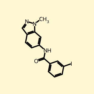 Cn1ncc2ccc(NC(=O)c3cccc(I)c3)cc21